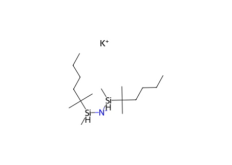 CCCCC(C)(C)[SiH](C)[N-][SiH](C)C(C)(C)CCCC.[K+]